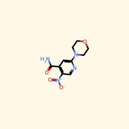 NC(=O)c1cc(N2CCOCC2)ncc1[N+](=O)[O-]